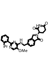 COc1cnc(-c2ccccc2C(C)C)nc1NCc1ccc2c(c1)CN(C1CCC(=O)NC1=O)C2=O